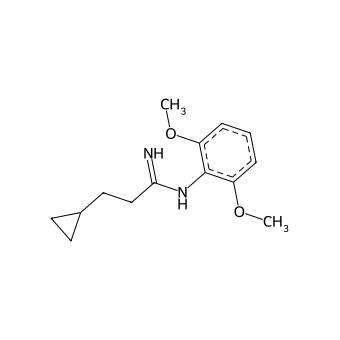 COc1cccc(OC)c1NC(=N)CCC1CC1